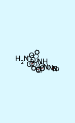 COC(=O)C1=C(CCc2ccccc2COCCN)NC(CC(=O)N2CCN(C3CC4CCC(C3)N4C)CC2)=C(C(=O)OC)C1c1c(Cl)cccc1Cl